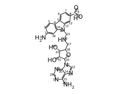 Nc1ccc2c3ccc([SH](=O)=O)cc3n(CNCC3OC(n4cnc5c(N)ncnc54)C(O)C3O)c2c1